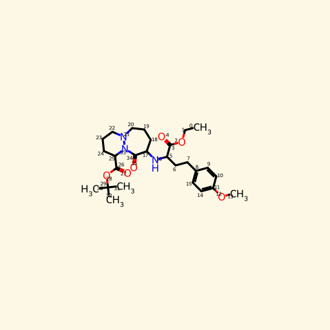 CCOC(=O)C(CCc1ccc(OC)cc1)NC1CCCN2CCCC(C(=O)OC(C)(C)C)N2C1=O